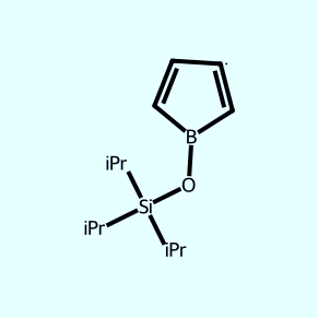 CC(C)[Si](OB1C=[C]C=C1)(C(C)C)C(C)C